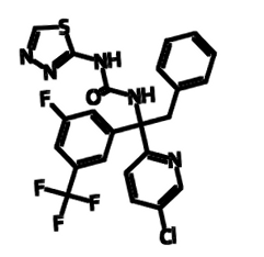 O=C(Nc1nncs1)NC(Cc1ccccc1)(c1cc(F)cc(C(F)(F)F)c1)c1ccc(Cl)cn1